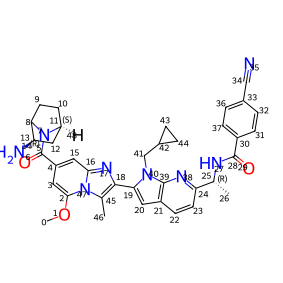 COc1cc(C(=O)N2C3CC[C@H]2C[C@H]3N)cc2nc(-c3cc4ccc([C@@H](C)NC(=O)c5ccc(C#N)cc5)nc4n3CC3CC3)c(C)n12